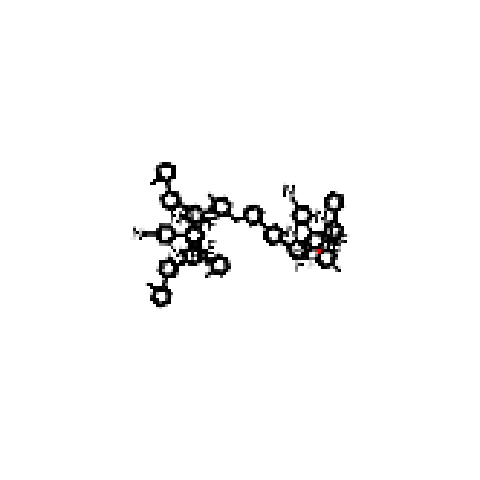 Cc1cccc(-c2ccc3c4ccccc4n(-c4cc(C#N)cc(-n5c6ccccc6c6ccc(-c7cccc(Cc8ccc(C)c(-c9ccc%10c(c9)c9cc(-c%11ccccc%11C)ccc9n%10-c9cc(C#N)cc(-n%10c%11ccc(-c%12ccccc%12C)cc%11c%11cc(-c%12ccccc%12C)ccc%11%10)c9-c9cc(C(F)(F)F)cc(C(F)(F)F)c9)c8)c7)cc65)c4-c4cc(C(F)(F)F)cc(C(F)(F)F)c4)c3c2)c1